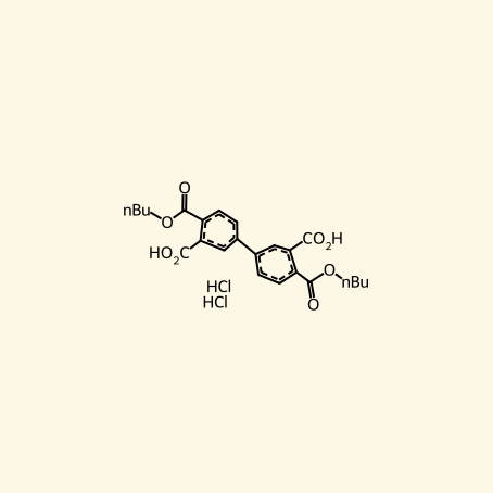 CCCCOC(=O)c1ccc(-c2ccc(C(=O)OCCCC)c(C(=O)O)c2)cc1C(=O)O.Cl.Cl